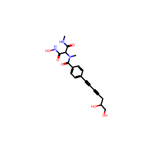 CNC(=O)C(C(=O)NO)N(C)C(=O)c1ccc(C#CC#CCC(O)CO)cc1